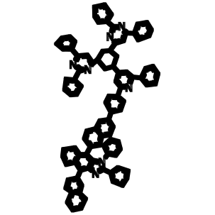 c1ccc(-c2cc(C3CC(c4cc(-c5ccccc5)nc(-c5ccccc5)n4)CC(c4cc(-c5ccccc5)nc(-c5ccccc5)n4)C3)cc(-c3ccc(-c4ccc5cc(-c6c7ccccc7c(-c7ccc8ccccc8c7)c7nc(-c8ccccc8)n(-c8ccccc8)c67)ccc5c4)cc3)n2)cc1